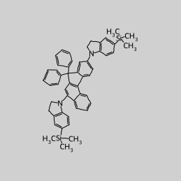 C[Si](C)(C)c1ccc2c(c1)CCN2c1ccc2c(c1)C(c1ccccc1)(c1ccccc1)c1cc(N3CCc4cc([Si](C)(C)C)ccc43)c3ccccc3c1-2